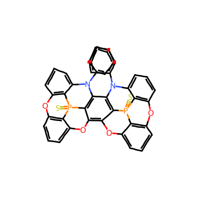 S=P12c3c4cccc3Oc3c5c6c(c(c31)N(c1ccccc1)c1cccc(c12)O4)N(c1ccccc1)c1cccc2c1P6(=S)c1c(cccc1O5)O2